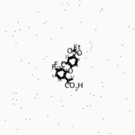 CCS(=O)(=O)c1ccc(Oc2cc(F)ccc2C(C)C(=O)O)c(C(F)(F)F)c1